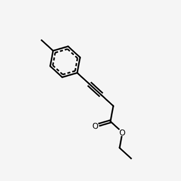 CCOC(=O)CC#Cc1ccc(C)cc1